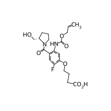 C=CCOC(=O)Nc1cc(OCCCC(=O)O)c(F)cc1C(=O)N1CCC[C@H]1CO